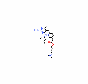 CCCC(CCC)Nc1nc(N)nc(C)c1Cc1ccc(CC(=O)OCCCCN(C)C)cc1